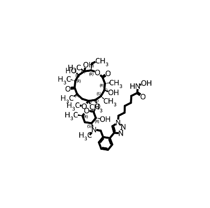 CC[C@H]1OC(=O)[C@H](C)[C@@H](O)[C@H](C)[C@@H](O[C@@H]2O[C@H](C)C[C@H](N(C)Cc3ccccc3-c3cn(CCCCCC(=O)NO)nn3)[C@H]2O)[C@](C)(OC)C[C@@H](C)C(=O)[C@H](C)[C@@H](O)[C@]1(C)O